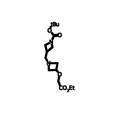 CCOC(=O)COC1CN(CC2CN(C(=O)OC(C)(C)C)C2)C1